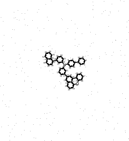 c1ccc(-c2ccc(N(c3cccc(-c4cc5c6c(cccc6c4)Oc4ccccc4-5)c3)c3cccc(-c4cccc5ccccc45)c3)cc2)cc1